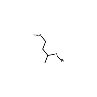 CCCCCCCC(C)OC(C)C